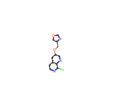 Clc1nccc2cc(OCc3cocn3)cnc12